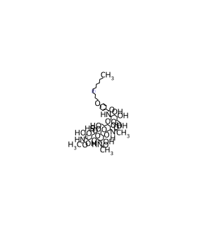 CCCCCC/C=C\CCCOc1ccc(C(=O)NC2C(OC3C(CO)OC(OC4C(CO)OC(OC5C(COS)OC(O)[C@@H](NC(C)=O)C5O)[C@@H](NC(C)=O)C4O)C(NC(C)=O)C3O)OC(CO)C(O)C2O)cc1